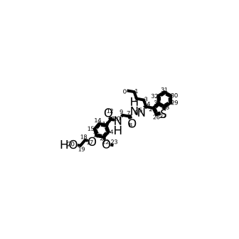 CCCC/C(=N\NC(=O)CNC(=O)c1ccc(OCCO)c(OC)c1)c1csc2ccccc12